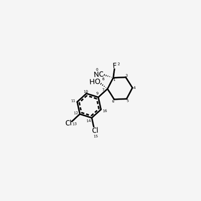 N#C[C@]1(F)CCCC[C@@]1(O)c1ccc(Cl)c(Cl)c1